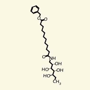 CC[C@@H](O)[C@@H](O)[C@H](O)[C@@H](O)CNC(=O)CCCCCCCCCCC(=O)OCc1ccccc1